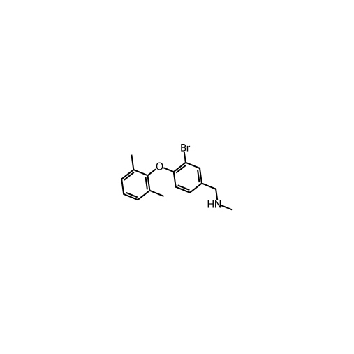 CNCc1ccc(Oc2c(C)cccc2C)c(Br)c1